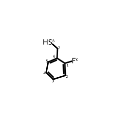 Fc1ccccc1CS